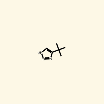 CC(C)(C)c1c[nH]nn1